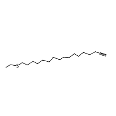 C#CCCCCCCCCCCCCCCCSCC